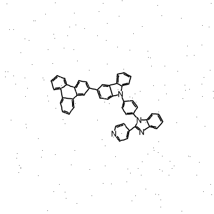 c1ccc2c(c1)nc(-c1ccncc1)n2-c1ccc(-n2c3ccccc3c3cc(-c4ccc5c6ccccc6c6ccccc6c5c4)ccc32)cc1